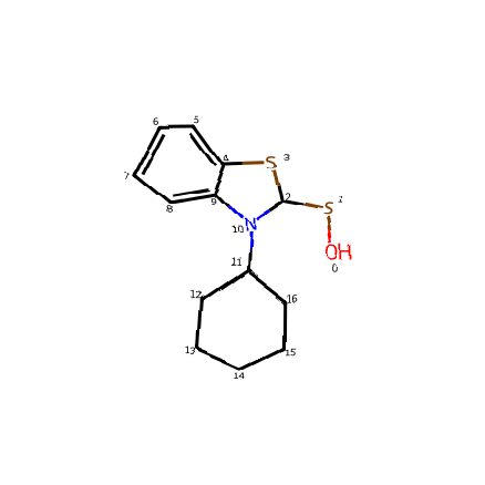 OSC1Sc2ccccc2N1C1CCCCC1